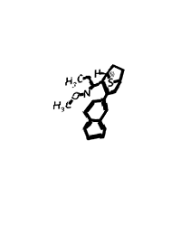 CCC(=NOC)C1=C(c2ccc3ccccc3c2)CC2CC[C@@H]1S2